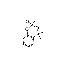 CC1(C)OP(C)(=O)Oc2ccccc21